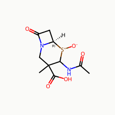 CC(=O)NC1[S+]([O-])[C@@H]2CC(=O)N2CC1(C)C(=O)O